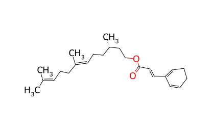 CC(C)=CCC/C(C)=C/CC[C@H](C)CCOC(=O)/C=C/C1=CCCC=C1